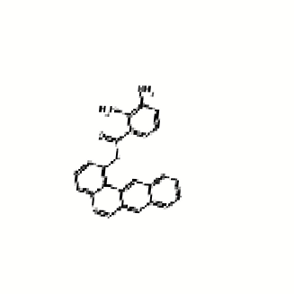 Nc1cccc(C(=O)Cc2cccc3ccc4cc5ccccc5cc4c23)c1N